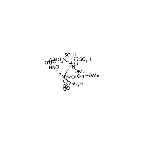 COCCOCCOCCOCCC1(C)\C(=C/C=C/C=C/C2=[N+](CCOC)c3ccc4c(S(=O)(=O)O)cc(S(=O)(=O)O)cc4c3C2(C)CCCS(=O)(=O)O)N(CCCCCC(=O)NCCN2C(=O)C=CC2=O)c2ccc3c(S(=O)(=O)[O-])cc(S(=O)(=O)O)cc3c21